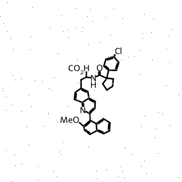 COc1ccc2ccccc2c1-c1ccc2cc(CC(NC(=O)C3(c4ccc(Cl)cc4)CCCC3)C(=O)O)ccc2n1